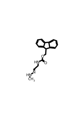 CNN=CCNC(=O)OCC1c2ccccc2-c2ccccc21